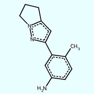 Cc1ccc(N)cc1-c1cc2n(n1)CCC2